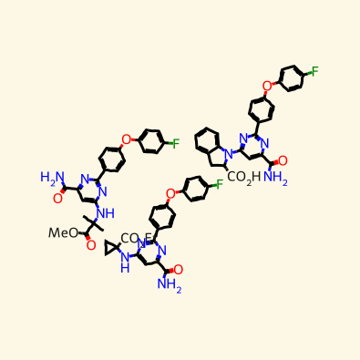 CCOC(=O)C1(Nc2cc(C(N)=O)nc(-c3ccc(Oc4ccc(F)cc4)cc3)n2)CC1.COC(=O)C(C)(C)Nc1cc(C(N)=O)nc(-c2ccc(Oc3ccc(F)cc3)cc2)n1.NC(=O)c1cc(N2c3ccccc3CC2C(=O)O)nc(-c2ccc(Oc3ccc(F)cc3)cc2)n1